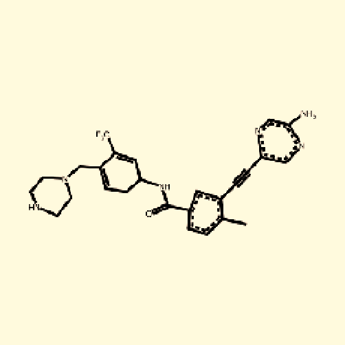 Cc1ccc(C(=O)NC2C=C(C(F)(F)F)C(CN3CCNCC3)=CC2)cc1C#Cc1cnc(N)cn1